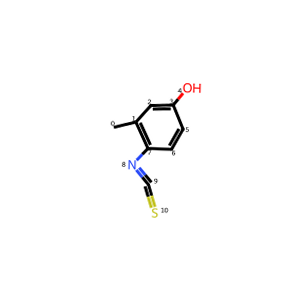 Cc1cc(O)ccc1N=C=S